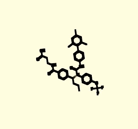 CCCC(c1ccc(C(=O)NCCC(=O)O)cc1)[C@H](C(=O)Nc1ccc(-c2c(C)cc(C)cc2C)cc1)c1ccc(OC(F)(F)F)cc1